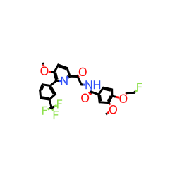 COc1cc(C(=O)NCC(=O)c2ccc(OC)c(-c3cccc(C(F)(F)F)c3)n2)ccc1OCCF